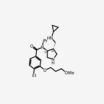 CCc1ccc(C(=O)N(C(C)C)[C@@H]2CNC[C@H]2CNC2CC2)cc1OCCCOC